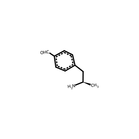 C[C@@H](N)Cc1ccc(C=O)cc1